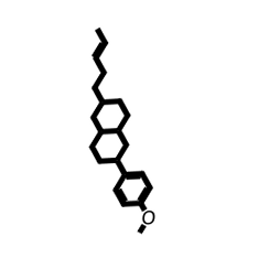 CC=CCCC1CCC2CC(c3ccc(OC)cc3)CCC2C1